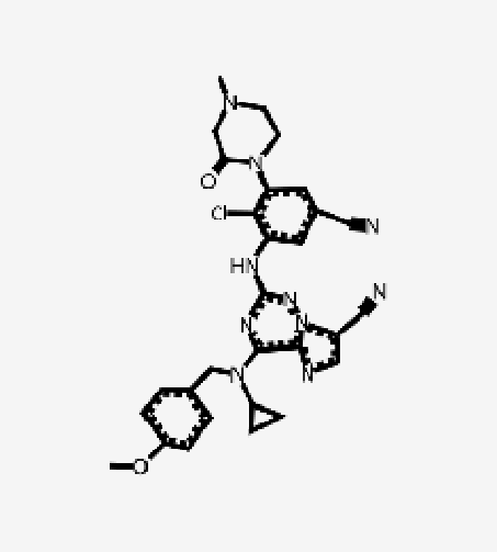 COc1ccc(CN(c2nc(Nc3cc(C#N)cc(N4CCN(C)CC4=O)c3Cl)nn3c(C#N)cnc23)C2CC2)cc1